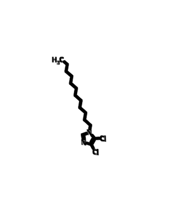 CCCCCCCCCCCCn1cnc(Cl)c1Cl